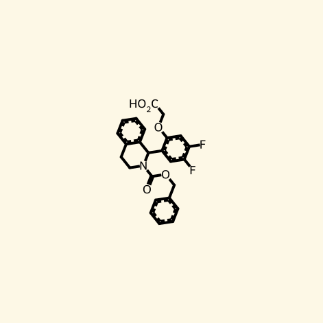 O=C(O)COc1cc(F)c(F)cc1C1c2ccccc2CCN1C(=O)OCc1ccccc1